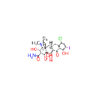 CN(C)[C@@H]1C(O)=C(C(N)=O)C(=O)[C@@]2(O)C(O)=C3C(=O)c4c(O)c(I)cc(Cl)c4C[C@H]3C[C@@H]12